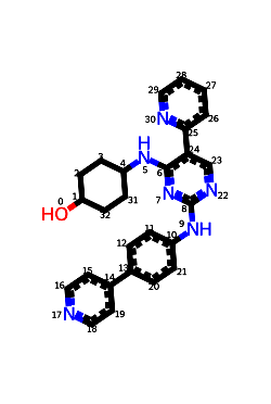 OC1CCC(Nc2nc(Nc3ccc(-c4ccncc4)cc3)ncc2-c2ccccn2)CC1